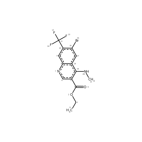 CCOC(=O)c1cnc2cc(C(F)(F)F)c(Br)cc2c1NC